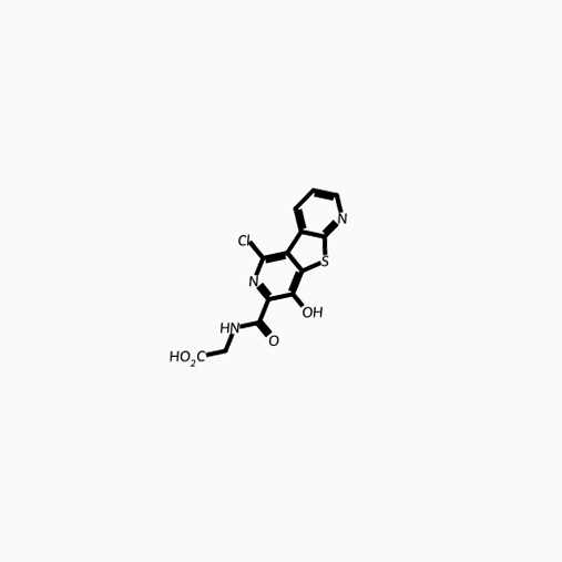 O=C(O)CNC(=O)c1nc(Cl)c2c(sc3ncccc32)c1O